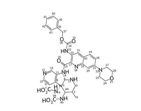 CC1CNC[C@](NC(=O)O)(c2ccncc2NC(=O)c2nc3cc(N4CCOCC4)ccc3cc2NC(=O)OCc2ccccc2)C1NC(=O)O